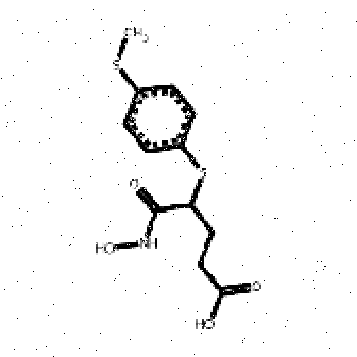 CSc1ccc(SC(CCC(=O)O)C(=O)NO)cc1